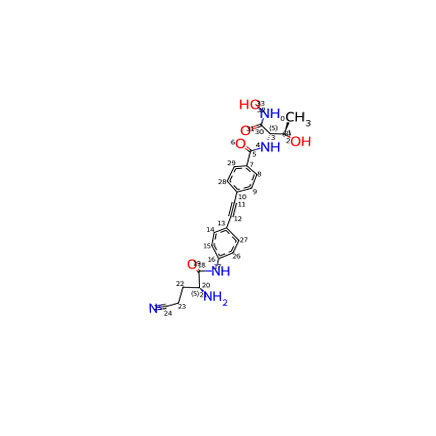 C[C@@H](O)[C@H](NC(=O)c1ccc(C#Cc2ccc(NC(=O)[C@@H](N)CCC#N)cc2)cc1)C(=O)NO